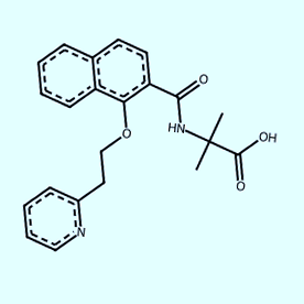 CC(C)(NC(=O)c1ccc2ccccc2c1OCCc1ccccn1)C(=O)O